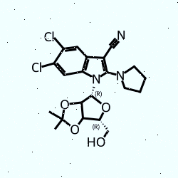 CC1(C)OC2C(O1)[C@@H](CO)O[C@H]2n1c(N2CCCC2)c(C#N)c2cc(Cl)c(Cl)cc21